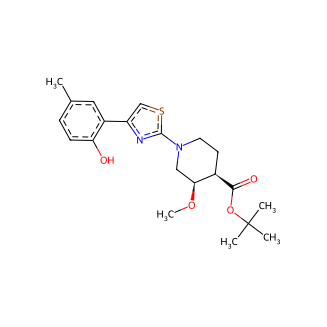 CO[C@H]1CN(c2nc(-c3cc(C)ccc3O)cs2)CC[C@H]1C(=O)OC(C)(C)C